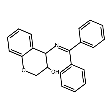 OC1COc2ccccc2C1N=C(c1ccccc1)c1ccccc1